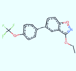 CCOc1noc2ccc(-c3ccc(OC(F)(F)F)cc3)cc12